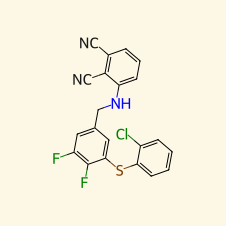 N#Cc1cccc(NCc2cc(F)c(F)c(Sc3ccccc3Cl)c2)c1C#N